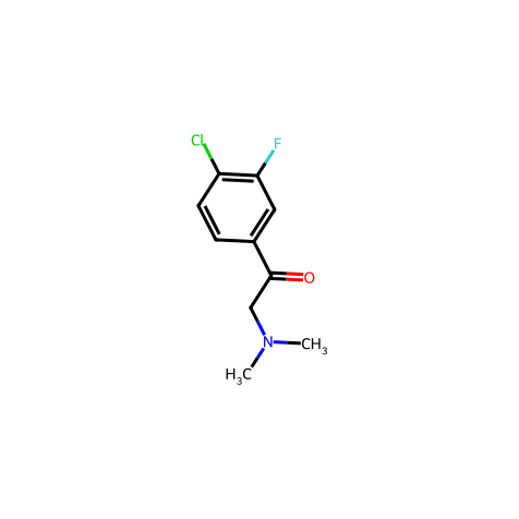 CN(C)CC(=O)c1ccc(Cl)c(F)c1